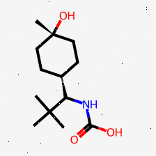 CC(C)(C)C(NC(=O)O)[C@H]1CC[C@](C)(O)CC1